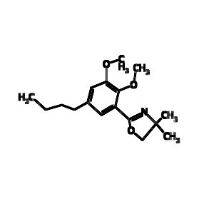 CCCCc1cc(OC)c(OC)c(C2=NC(C)(C)CO2)c1